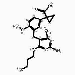 CCCCNc1nc(N)nc(C)c1Cc1cc(C2(C(=O)O)CC2)ccc1OC